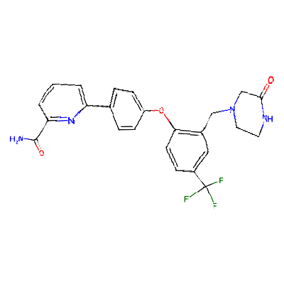 NC(=O)c1cccc(-c2ccc(Oc3ccc(C(F)(F)F)cc3CN3CCNC(=O)C3)cc2)n1